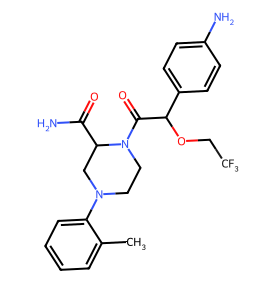 Cc1ccccc1N1CCN(C(=O)C(OCC(F)(F)F)c2ccc(N)cc2)C(C(N)=O)C1